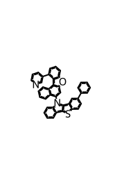 c1ccc(-c2ccc3sc4c5ccccc5n(-c5cc6oc7cccc(-c8cccnc8)c7c6c6ccccc56)c4c3c2)cc1